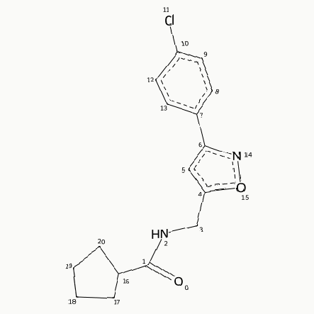 O=C(NCc1cc(-c2ccc(Cl)cc2)no1)C1CCCC1